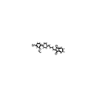 CCOc1cc(Br)ccc1N1CCN(CCCCN2C(=O)c3ccccc3C2=O)CC1